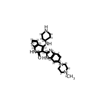 CN1CCN(c2ccc3nc(-c4c(NC5CCNCC5)c5ccsc5[nH]c4=O)[nH]c3c2)CC1